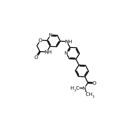 CN(C)C(=O)c1ccc(-c2ccc(Nc3cnc4c(c3)NC(=O)CO4)nc2)cc1